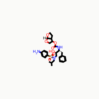 CC(C)CN(C[C@@H](O)[C@@H](Cc1ccccc1)NC(=O)OC1CO[C@H]2OCCC12)S(=O)(=O)c1ccc(N)cc1